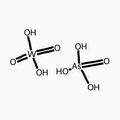 O=[As](O)(O)O.[O]=[W](=[O])([OH])[OH]